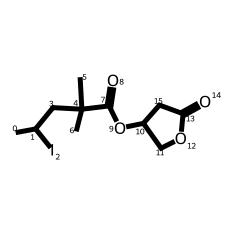 CC(I)CC(C)(C)C(=O)OC1COC(=O)C1